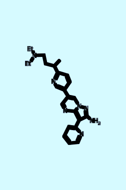 CCN(CC)CCC(C)c1ccc(-c2cnc3c(-c4ccccn4)c(N)nn3c2)cn1